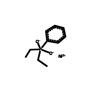 CCP([O-])([O-])(CC)c1ccccc1.[Ni+2]